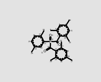 Cc1cc(C)c(C(=O)P(=O)(C(=O)c2c(C)cc(C)cc2C)c2cc(C)ccc2C)c(C)c1